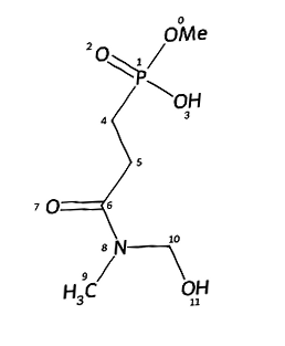 COP(=O)(O)CCC(=O)N(C)CO